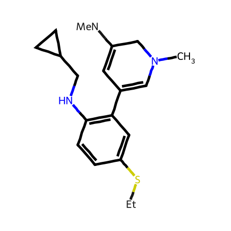 CCSc1ccc(NCC2CC2)c(C2=CN(C)CC(NC)=C2)c1